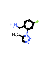 Cc1cnnn1-c1cc(F)ccc1CN